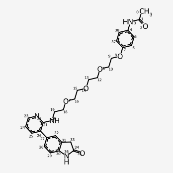 CC(=O)Nc1ccc(OCCOCCOCCOCCNc2ncccc2-c2ccc3c(c2)CC(=O)N3)cc1